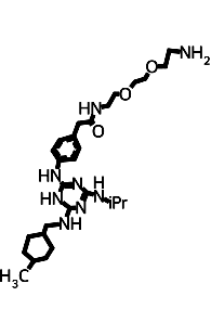 CC1CCC(CNC2N=C(NC(C)C)N=C(Nc3ccc(CC(=O)NCCOCCOCCN)cc3)N2)CC1